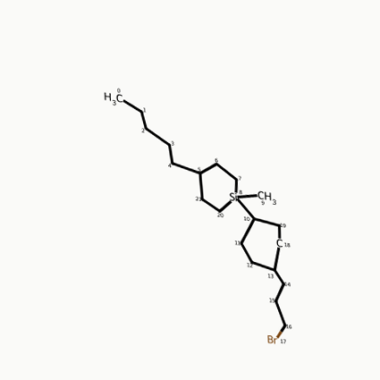 CCCCCC1CC[Si](C)(C2CCC(CCCBr)CC2)CC1